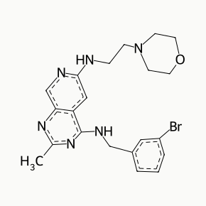 Cc1nc(NCc2cccc(Br)c2)c2cc(NCCN3CCOCC3)ncc2n1